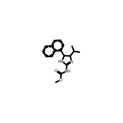 COC(=O)NC1=NC(C(C)C)C(c2cccc3ccccc23)N1